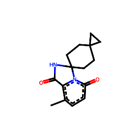 Cc1ccc(=O)n2c1C(=O)NC21CCC2(CC2)CC1